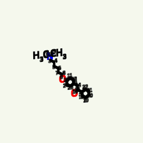 CN(C)CCCCCCOc1ccc(CC(=O)c2ccccc2)cc1